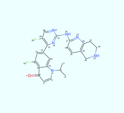 CC(C)n1ccc(=O)c2c(F)cc(-c3nc(Nc4ccc5c(n4)CCNC5)ncc3F)cc21